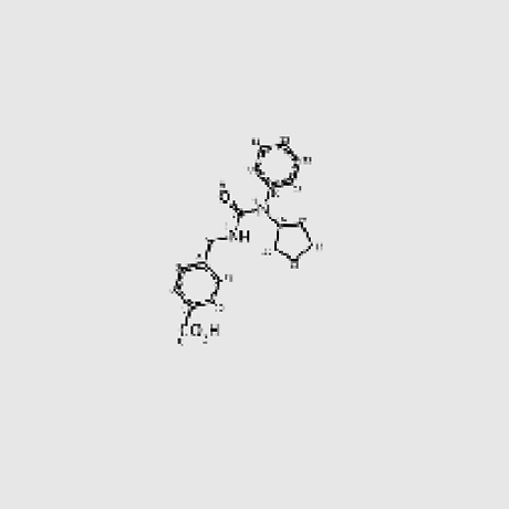 O=C(O)c1ccc(CNC(=O)N(c2ccccc2)C2CCCC2)cc1